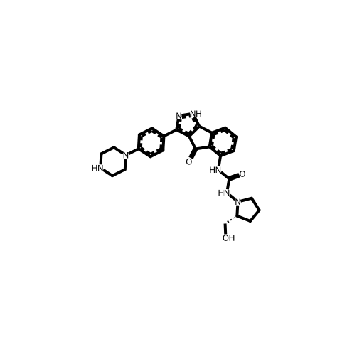 O=C(Nc1cccc2c1C(=O)c1c(-c3ccc(N4CCNCC4)cc3)n[nH]c1-2)NN1CCC[C@@H]1CO